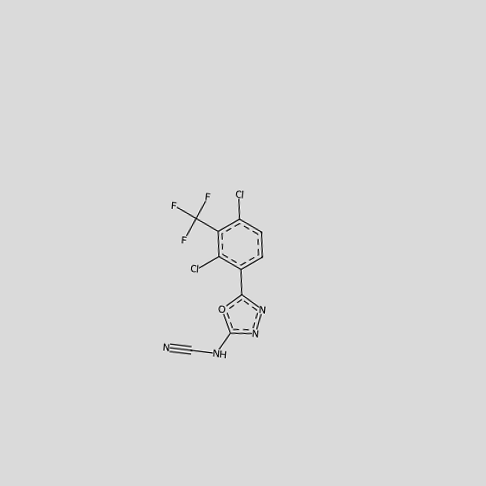 N#CNc1nnc(-c2ccc(Cl)c(C(F)(F)F)c2Cl)o1